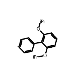 CC(C)Oc1cccc(OC(C)C)c1-c1cc[c]cc1